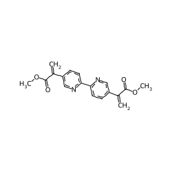 C=C(C(=O)OC)c1ccc(-c2ccc(C(=C)C(=O)OC)cn2)nc1